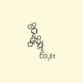 CCOC(=O)CSc1cnc(NC(=O)N(CC2CCCC2)c2ccc3c(c2)OCO3)s1